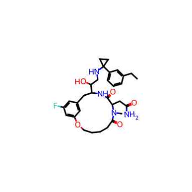 CCc1cccc(C2(NCC(O)C3Cc4cc(F)cc(c4)OCCCCC(=O)N(C)C(CC(N)=O)C(=O)N3)CC2)c1